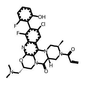 C=CC(=O)N1C[C@@H]2C(=O)N3C[C@H](CN(C)C)Oc4nc5c(F)c(-c6c(O)cccc6F)c(Cl)cc5c(c43)N2C[C@H]1C